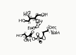 CCCCCCCCCCCCOS(=O)(=O)OC(=O)C(O)CO.CCOCC.OCC(O)C(O)CO.[NaH]